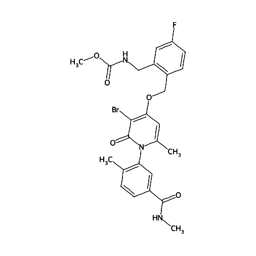 CNC(=O)c1ccc(C)c(-n2c(C)cc(OCc3ccc(F)cc3CNC(=O)OC)c(Br)c2=O)c1